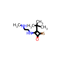 CNCCNc1c(C(C)(C)C)c(=S)c1=O